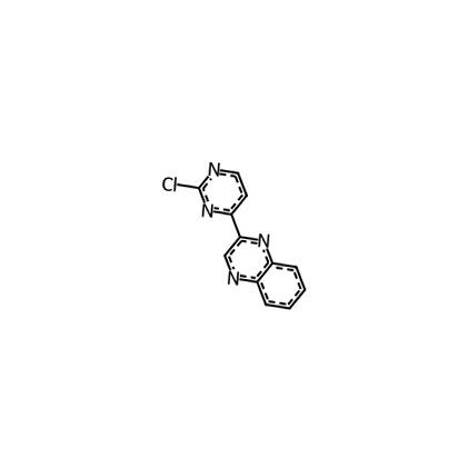 Clc1nccc(-c2cnc3ccccc3n2)n1